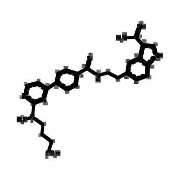 CN(CCCC(=O)O)c1nccc(-c2ccc(C(=O)NCCc3ccc4[nH]cc(C(=N)N)c4c3)cc2)n1